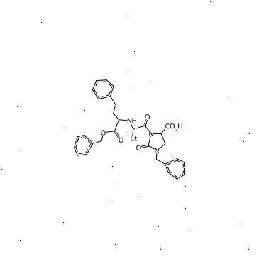 CCC(NC(CCc1ccccc1)C(=O)OCc1ccccc1)C(=O)N1C(=O)N(Cc2ccccc2)CC1C(=O)O